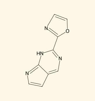 c1cc2cnc(-c3ncco3)[nH]c-2n1